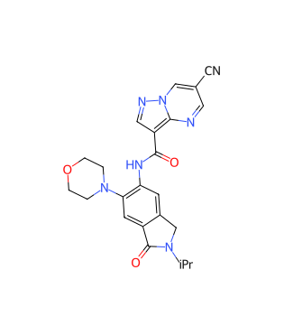 CC(C)N1Cc2cc(NC(=O)c3cnn4cc(C#N)cnc34)c(N3CCOCC3)cc2C1=O